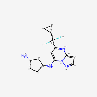 N[C@H]1CC[C@H](Nc2cc(C(F)(F)C3CC3)nc3ccnn23)C1